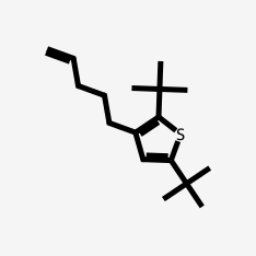 C=CCCCc1cc(C(C)(C)C)sc1C(C)(C)C